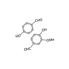 COc1cc(C=O)ccc1O.O=Cc1ccc(O)cc1